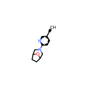 C#Cc1ccc(N2CC3CCC(C2)O3)nc1